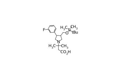 CC(C)(CC(=O)O)N1CC(CO[Si](C)(C)C(C)(C)C)C(c2cccc(F)c2)C1